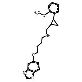 COc1ccccc1C1CC1CNCCCCOc1ccc2scnc2c1